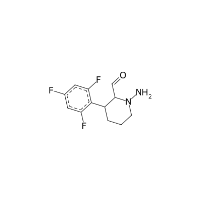 NN1CCCC(c2c(F)cc(F)cc2F)C1C=O